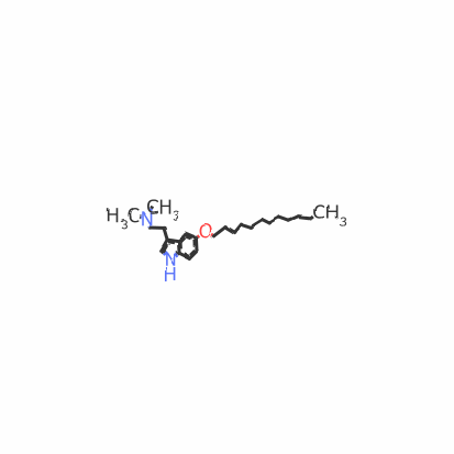 CCCCCCCCCCCCOc1ccc2[nH]cc(CCN(C)C)c2c1